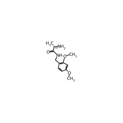 COc1ccc(CNC(=O)[C@H](C)N)c(OC)c1